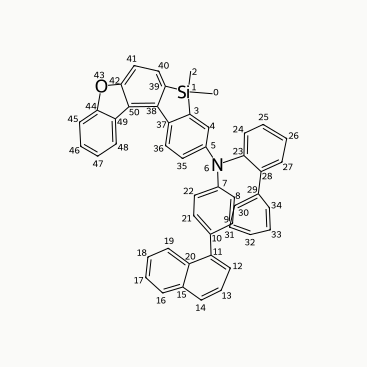 C[Si]1(C)c2cc(N(c3ccc(-c4cccc5ccccc45)cc3)c3ccccc3-c3ccccc3)ccc2-c2c1ccc1oc3ccccc3c21